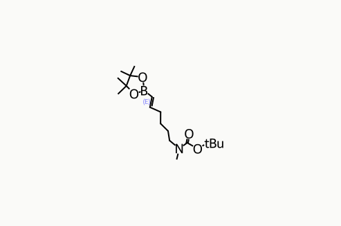 CN(CCCC/C=C/B1OC(C)(C)C(C)(C)O1)C(=O)OC(C)(C)C